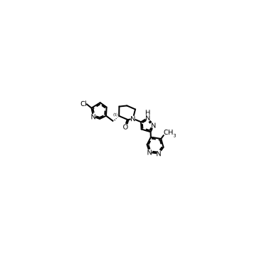 Cc1cnncc1-c1cc(N2CCC[C@@H](Cc3ccc(Cl)nc3)C2=O)[nH]n1